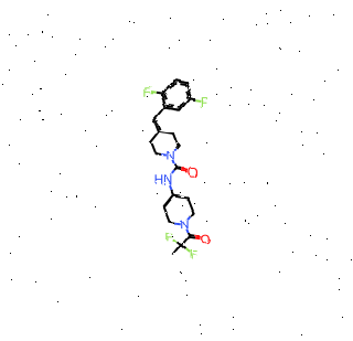 CC(F)(F)C(=O)N1CCC(NC(=O)N2CCC(=Cc3cc(F)ccc3F)CC2)CC1